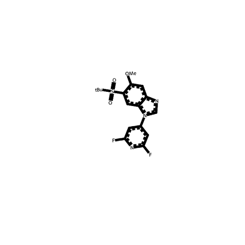 COc1cc2ncn(-c3cc(F)nc(F)c3)c2cc1S(=O)(=O)C(C)(C)C